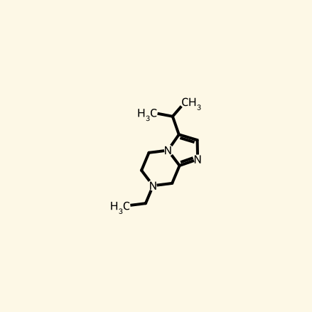 CCN1CCn2c(C(C)C)cnc2C1